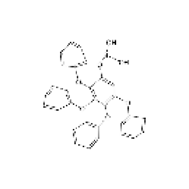 OB(O)Oc1cc(Oc2ccccc2)c(Oc2ccccc2)c(Oc2ccccc2)c1Oc1ccccc1